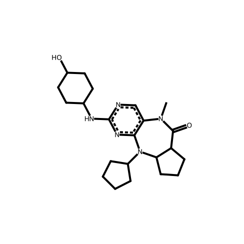 CN1C(=O)C2CCCC2N(C2CCCC2)c2nc(NC3CCC(O)CC3)ncc21